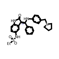 CCS(=O)(=O)Nc1ccc2c(c1)/C(=C(/Nc1ccc(CN3CCCC3)cc1)c1ccccc1)C(=O)N2